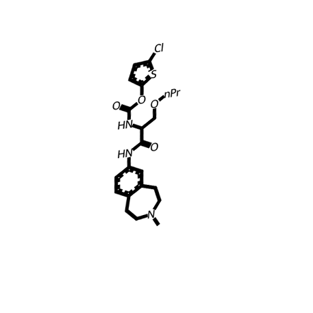 CCCOCC(NC(=O)Oc1ccc(Cl)s1)C(=O)Nc1ccc2c(c1)CCN(C)CC2